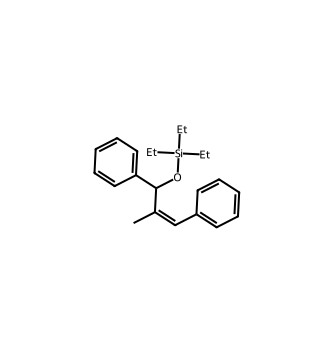 CC[Si](CC)(CC)OC(C(C)=Cc1ccccc1)c1ccccc1